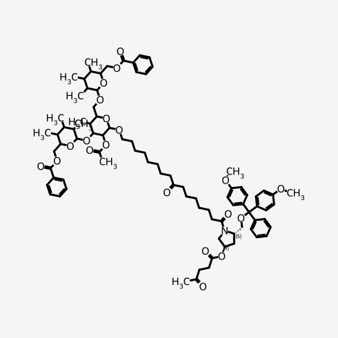 COc1ccc(C(OC[C@@H]2C[C@@H](OC(=O)CCC(C)=O)CN2C(=O)CCCCCCC(=O)CCCCCCCCOC2OC(COC3OC(COC(=O)c4ccccc4)C(C)C(C)C3C)C(C)C(OC3OC(COC(=O)c4ccccc4)C(C)C(C)C3C)C2OC(C)=O)(c2ccccc2)c2ccc(OC)cc2)cc1